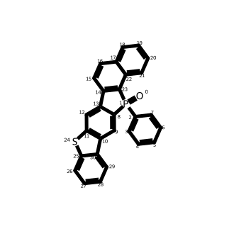 O=P1(c2ccccc2)c2cc3c(cc2-c2ccc4ccccc4c21)sc1ccccc13